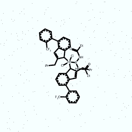 CCC(=O)N[B](NC(=O)CC)[Hf]([Cl])([Cl])([CH]1C(CC(C)C)=Cc2c(-c3ccccc3C(F)(F)F)cccc21)[CH]1C(CC(C)C)=Cc2c(-c3ccccc3C(F)(F)F)cccc21